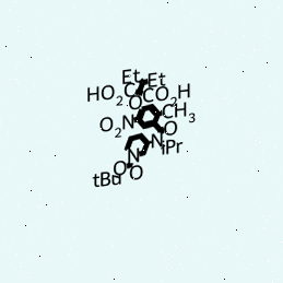 CCC(CC)C(Oc1cc(C)c(C(=O)N(C(C)C)[C@@H]2CCCN(C(=O)OC(C)(C)C)C2)cc1[N+](=O)[O-])(C(=O)O)C(=O)O